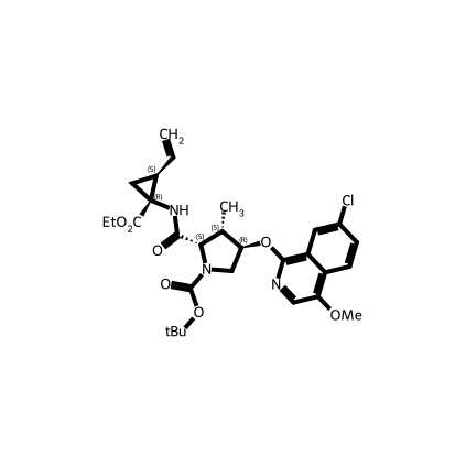 C=C[C@@H]1C[C@]1(NC(=O)[C@@H]1[C@H](C)[C@@H](Oc2ncc(OC)c3ccc(Cl)cc23)CN1C(=O)OC(C)(C)C)C(=O)OCC